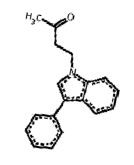 CC(=O)CCn1cc(-c2[c]cccc2)c2ccccc21